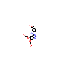 COCCOc1cc2ncnc(Nc3cccc(C(C)(C)O)c3)c2cc1OCCOC